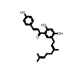 CC(C)=CCC/C(C)=C/Cc1cc(C(=O)/C=C/c2ccc(O)cc2)c(O)cc1O